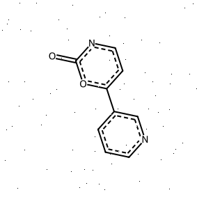 O=c1nccc(-c2cccnc2)o1